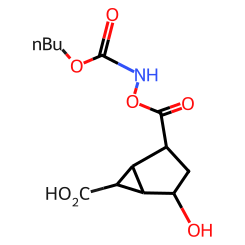 CCCCOC(=O)NOC(=O)C1CC(O)C2C(C(=O)O)C12